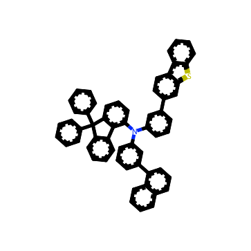 c1ccc(C2(c3ccccc3)c3ccccc3-c3c(N(c4cccc(-c5ccc6c(c5)sc5ccccc56)c4)c4cccc(-c5cccc6ccccc56)c4)cccc32)cc1